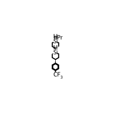 CCC[Si@H]1CC[C@H]([Si@H]2CC[C@H](c3ccc(C(F)(F)F)cc3)CC2)CC1